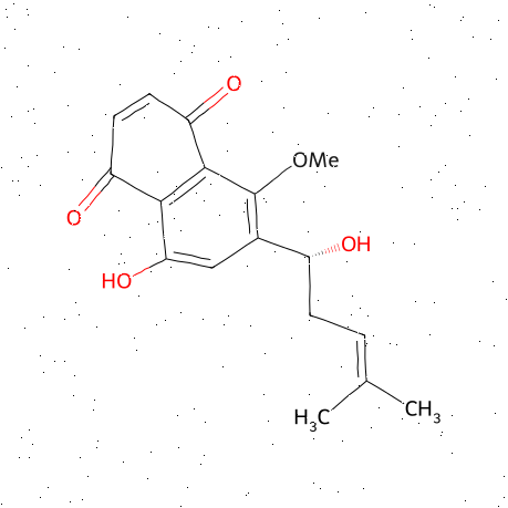 COc1c([C@H](O)CC=C(C)C)cc(O)c2c1C(=O)C=CC2=O